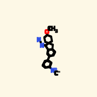 [C-]#[N+]c1cccc(-c2ccc3c(c2)/C(=N/C#N)C2(CCC(OC)CC2)C3)c1